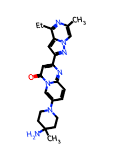 CCc1nc(C)cn2nc(-c3cc(=O)n4cc(N5CCC(C)(N)CC5)ccc4n3)cc12